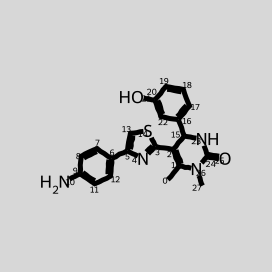 CC1=C(c2nc(-c3ccc(N)cc3)cs2)C(c2cccc(O)c2)NC(=O)N1C